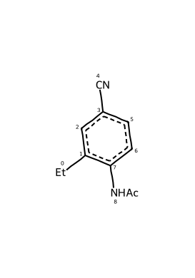 CCc1cc(C#N)ccc1NC(C)=O